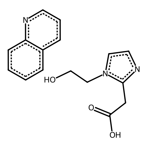 O=C(O)Cc1nccn1CCO.c1ccc2ncccc2c1